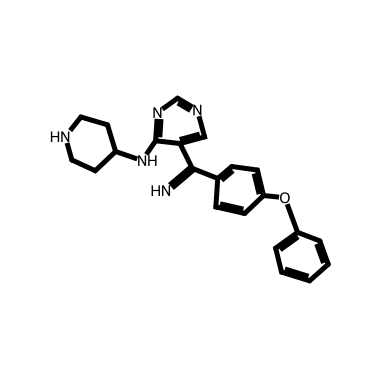 N=C(c1ccc(Oc2ccccc2)cc1)c1cncnc1NC1CCNCC1